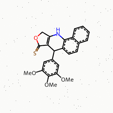 COc1cc(C2C3=C(COC3=S)Nc3c2ccc2ccccc32)cc(OC)c1OC